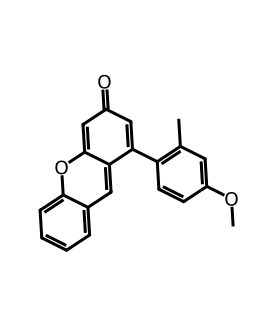 COc1ccc(-c2cc(=O)cc3oc4ccccc4cc2-3)c(C)c1